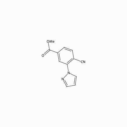 COC(=O)c1ccc(C#N)c(-n2cccn2)c1